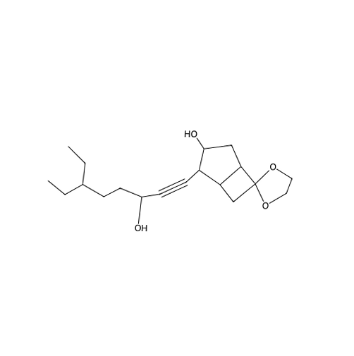 CCC(CC)CCC(O)C#CC1C(O)CC2C1CC21OCCO1